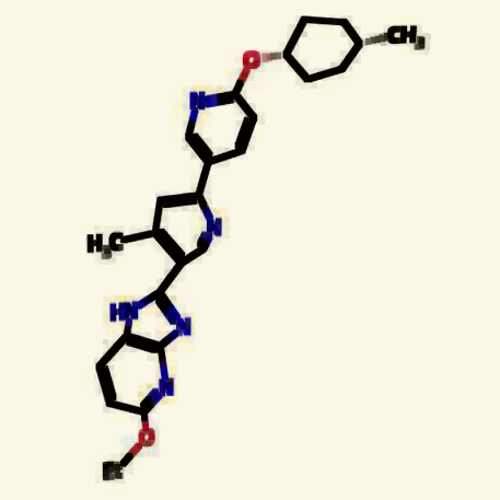 CCOc1ccc2[nH]c(-c3cnc(-c4ccc(O[C@H]5CC[C@@H](C)CC5)nc4)cc3C)nc2n1